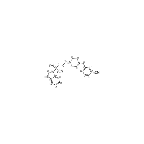 CC(C)C(C#N)(CCCN1CCN(Cc2cccc(C#N)c2)CC1)c1csc2ccccc12